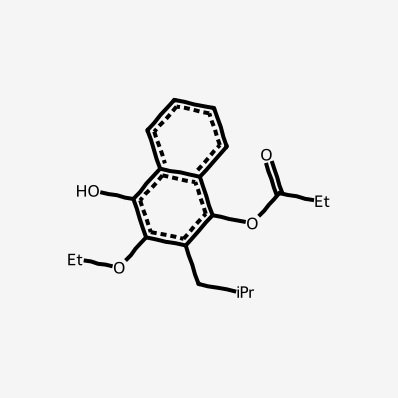 CCOc1c(CC(C)C)c(OC(=O)CC)c2ccccc2c1O